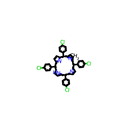 Cn1c2ccc1c(-c1ccc(Cl)cc1)c1nc(c(-c3ccc(Cl)cc3)c3ccc([nH]3)c(-c3ccc(Cl)cc3)c3nc(c2-c2ccc(Cl)cc2)C=C3)C=C1